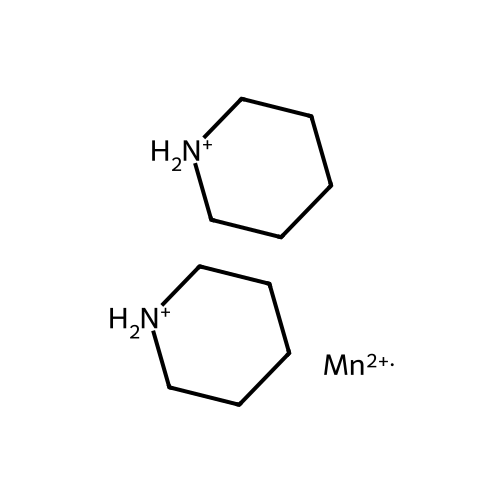 C1CC[NH2+]CC1.C1CC[NH2+]CC1.[Mn+2]